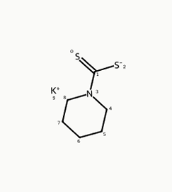 S=C([S-])N1CCCCC1.[K+]